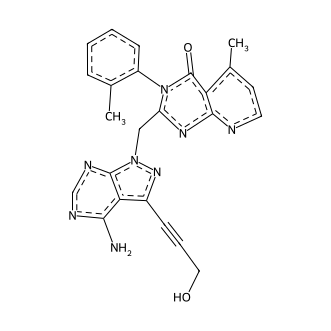 Cc1ccccc1-n1c(Cn2nc(C#CCO)c3c(N)ncnc32)nc2nccc(C)c2c1=O